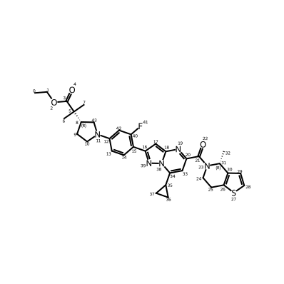 CCOC(=O)C(C)(C)[C@H]1CCN(c2ccc(-c3cc4nc(C(=O)N5CCc6sccc6[C@H]5C)cc(C5CC5)n4n3)c(F)c2)C1